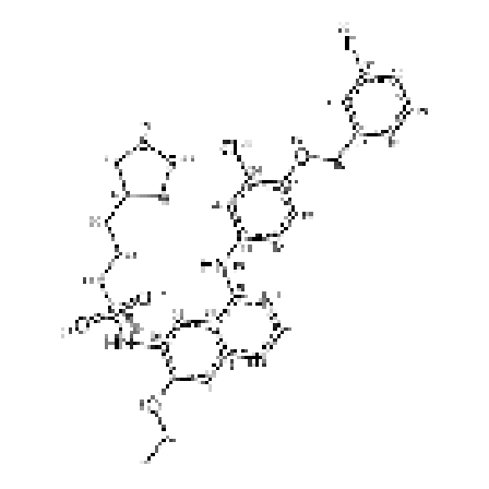 CCOc1cc2ncnc(Nc3ccc(OCc4cccc(F)c4)c(Cl)c3)c2cc1NS(=O)(=O)CCCC1CSSC1